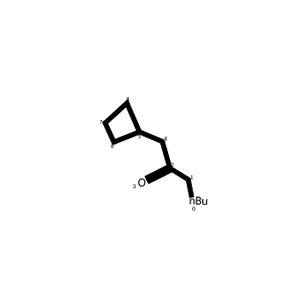 CCCCCC(=O)CC1CCC1